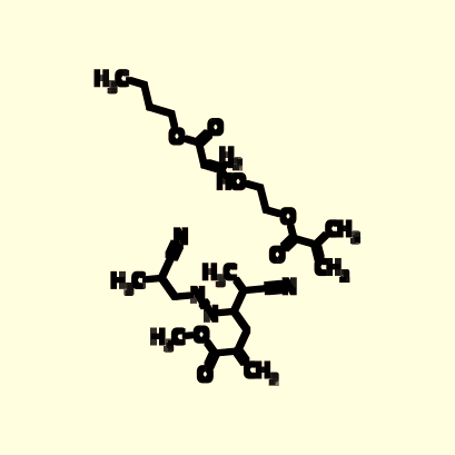 C=C(C)C(=O)OCCO.C=C(CC(N=NCC(C)C#N)C(C)C#N)C(=O)OC.C=CC(=O)OCCCC